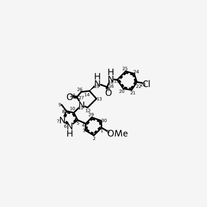 COc1ccc(-c2[nH]nc(C)c2N2CC[C@H](NC(=O)Nc3ccc(Cl)cc3)CC2=O)cc1